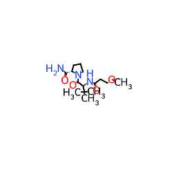 COCCC(=O)N[C@H](C(=O)N1CCC[C@H]1C(N)=O)C(C)(C)C